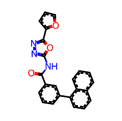 O=C(Nc1nnc(-c2ccco2)o1)c1cccc(-c2cccc3ccccc23)c1